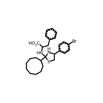 O=C(O)C(Cc1ccccc1)NC1(C2CCCCCCCC2)NC(c2ccc(Br)cc2)CS1